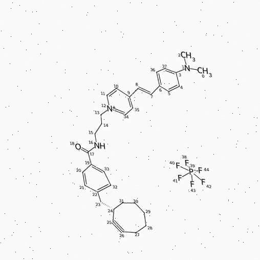 CN(C)c1ccc(C=Cc2cc[n+](CCCNC(=O)c3ccc(C[C@H]4C#CCCCCC4)cc3)cc2)cc1.F[P-](F)(F)(F)(F)F